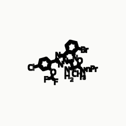 CCCNC(=O)[C@@](C)(N)c1nc2c(Br)cccc2c2nc(-c3ccc(Cl)cc3OC(F)F)nn12